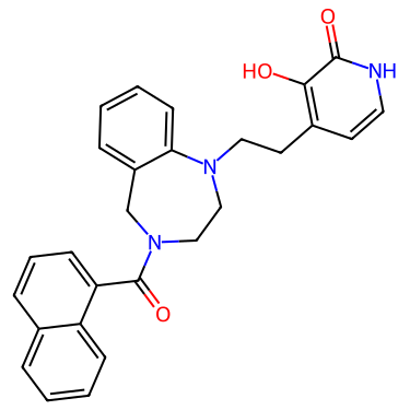 O=C(c1cccc2ccccc12)N1CCN(CCc2cc[nH]c(=O)c2O)c2ccccc2C1